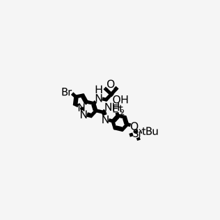 CCc1cc(O[Si](C)(C)C(C)(C)C)ccc1/N=C(\N)c1cnn2cc(Br)cc2c1NCC1(O)COC1